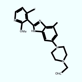 COc1nccc(I)c1-c1nc2c(C)cc(N3CCN(CC=O)CC3)cc2[nH]1